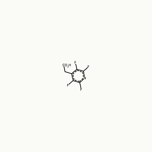 O=C(O)Cc1c(F)c(F)nc(F)c1F